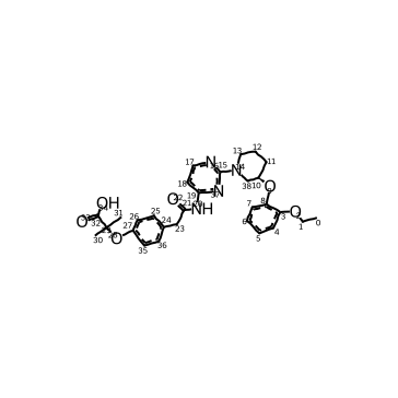 CCOc1ccccc1O[C@@H]1CCCN(c2nccc(NC(=O)Cc3ccc(OC(C)(C)C(=O)O)cc3)n2)C1